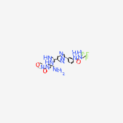 N=C/C(=C\NC1(CN)CN(C(=O)N2CCOCC2)C1)c1cnn2c(-c3cccc(NC(=O)NCC(F)(F)F)c3)cnc2c1